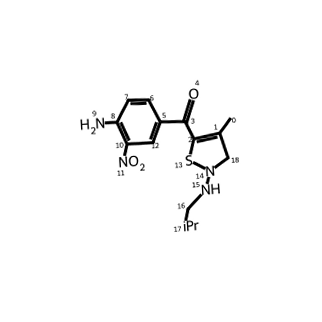 CC1=C(C(=O)c2ccc(N)c([N+](=O)[O-])c2)SN(NCC(C)C)C1